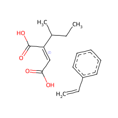 C=Cc1ccccc1.CCC(C)/C(=C/C(=O)O)C(=O)O